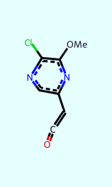 COc1nc(C=C=O)cnc1Cl